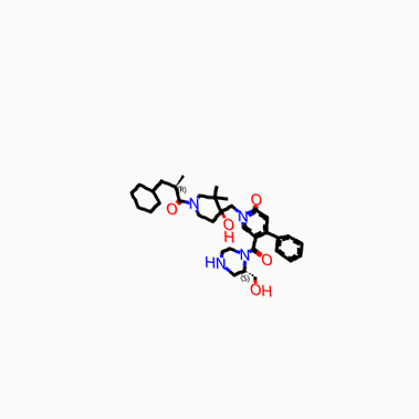 C[C@H](CC1CCCCC1)C(=O)N1CCC(O)(Cn2cc(C(=O)N3CCNC[C@H]3CO)c(-c3ccccc3)cc2=O)C(C)(C)C1